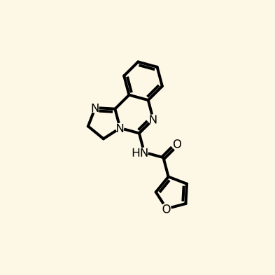 O=C(NC1=Nc2ccccc2C2=NCCN12)c1ccoc1